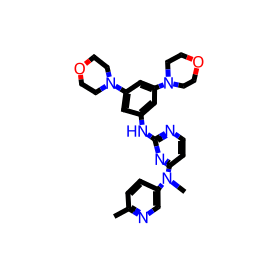 Cc1ccc(N(C)c2ccnc(Nc3cc(N4CCOCC4)cc(N4CCOCC4)c3)n2)cn1